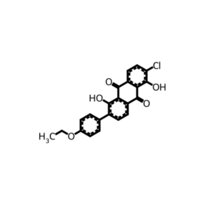 CCOc1ccc(-c2ccc3c(c2O)C(=O)c2ccc(Cl)c(O)c2C3=O)cc1